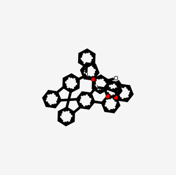 c1ccc(-c2cc3c(cc2N(c2ccccc2)c2ccccc2)C2(c4ccccc4-c4ccc(N(c5ccccc5)c5ccc6c(c5)oc5ccccc56)cc42)c2ccccc2-3)cc1